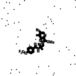 COc1c2ncc(Br)c(C)c2nn1CC(C)(C#N)NC(=O)c1ccc(OC(F)(F)F)cc1